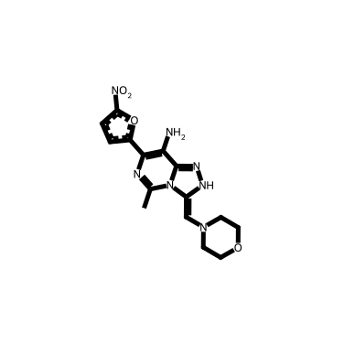 CC1=NC(c2ccc([N+](=O)[O-])o2)=C(N)C2=NNC(=CN3CCOCC3)N12